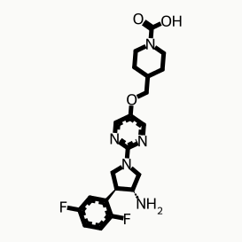 N[C@H]1CN(c2ncc(OCC3CCN(C(=O)O)CC3)cn2)C[C@@H]1c1cc(F)ccc1F